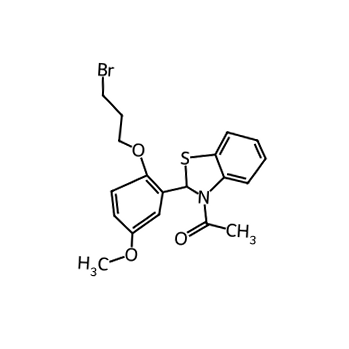 COc1ccc(OCCCBr)c(C2Sc3ccccc3N2C(C)=O)c1